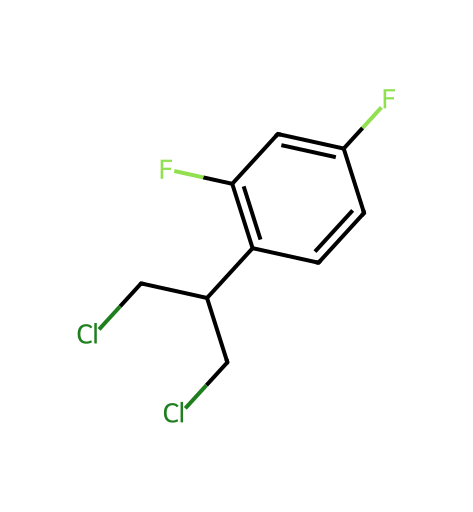 Fc1ccc(C(CCl)CCl)c(F)c1